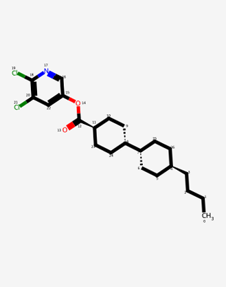 CCCC[C@H]1CC[C@H]([C@H]2CC[C@H](C(=O)Oc3cnc(Cl)c(Cl)c3)CC2)CC1